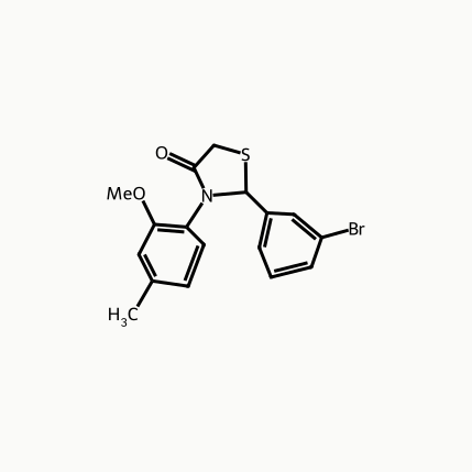 COc1cc(C)ccc1N1C(=O)CSC1c1cccc(Br)c1